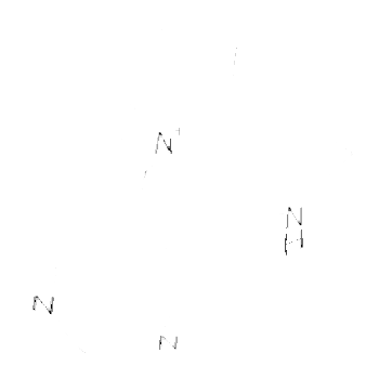 c1ncc([N+]23CCC(CC24CCNC4)C3)cn1